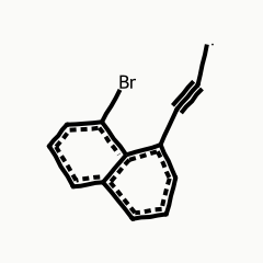 [CH2]C#Cc1cccc2cccc(Br)c12